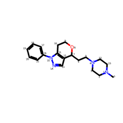 CN1CCN(CCC2OCCc3c2cnn3-c2ccccc2)CC1